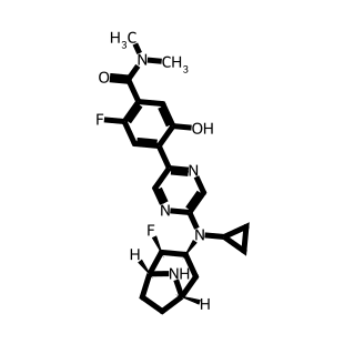 CN(C)C(=O)c1cc(O)c(-c2cnc(N(C3CC3)[C@H]3C[C@@H]4CC[C@@H](N4)[C@H]3F)cn2)cc1F